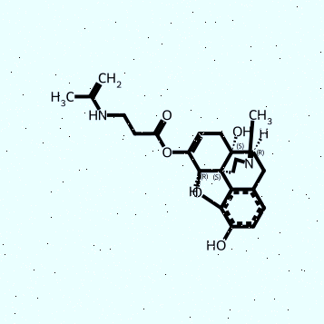 C=C(C)NCCC(=O)OC1=CC[C@@]2(O)[C@H]3Cc4ccc(O)c5c4[C@@]2(CCN3C)[C@H]1O5